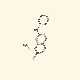 CCn1c(=O)ccc2cnc(Nc3ccccc3)nc21